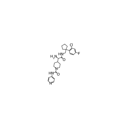 NC(C(=O)NCC1(c2ccc(F)cc2Cl)CCCC1)C1CCN(C(=O)Nc2ccncc2)CC1